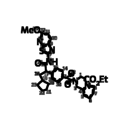 CCOC(=O)CN(Cc1ccccn1)S(=O)(=O)c1ccc(C(CC2CCCC2)C(=O)Nc2nc3ccc(OC)nc3s2)cc1